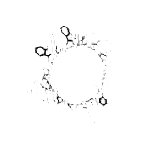 CCCC[C@H]1C(=O)N(C)[C@@H](CCCC)C(=O)N[C@@H](CC(C)C)C(=O)NCCCCC(=O)N[C@@H](Cc2ccc(O)cc2)C(=O)N(C)[C@@H](C)C(=O)N[C@@H](CC(N)=O)C(=O)N2CCC[C@H]2C(=O)N[C@@H](CN)C(=O)N[C@@H](CC(C)C)C(=O)C2N[C@@H](C[C@H]2O)C(=O)N[C@@H](Cc2c[nH]c3ccccc23)C(=O)N[C@@H](CCN)C(=O)N[C@@H](Cc2c[nH]c3ccccc23)C(=O)N1C